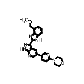 COCc1cccc2[nH]c(-c3n[nH]c4ncc(-c5ccc(N6CCOCC6)nc5)cc34)nc12